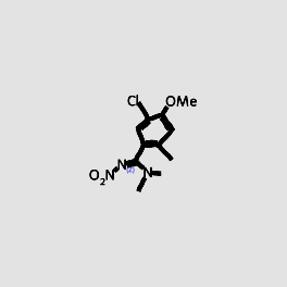 COc1cc(C)c(/C(=N/[N+](=O)[O-])N(C)C)cc1Cl